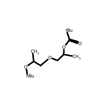 CCCCOC(C)COCC(C)OC(=O)C(C)(C)C